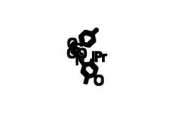 CC1=CC(=NOS(=O)(=O)c2ccc(C)cc2)C(C(C)C)=CC1=O